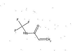 C=CC(=O)NC(F)(F)F